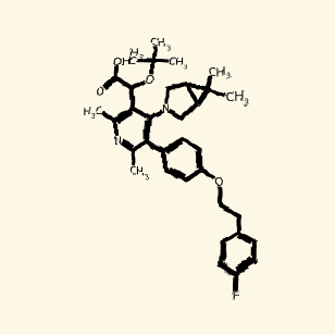 Cc1nc(C)c(C(OC(C)(C)C)C(=O)O)c(N2CC3C(C2)C3(C)C)c1-c1ccc(OCCc2ccc(F)cc2)cc1